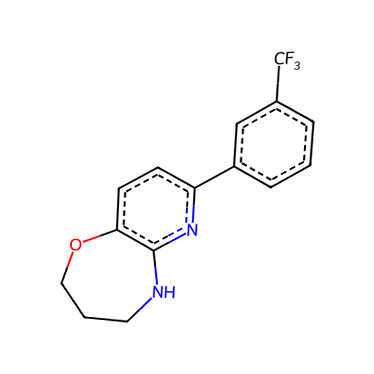 FC(F)(F)c1cccc(-c2ccc3c(n2)NCCCO3)c1